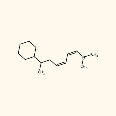 CC(C/C=C\C=C/N(C)C)C1CCCCC1